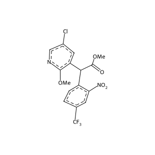 COC(=O)C(c1ccc(C(F)(F)F)cc1[N+](=O)[O-])c1cc(Cl)cnc1OC